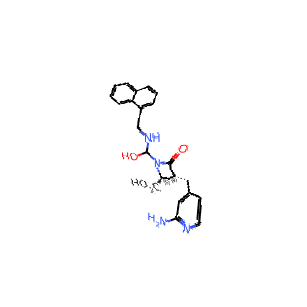 Nc1cc(C[C@H]2C(=O)N(C(O)NCc3cccc4ccccc34)[C@@H]2C(=O)O)ccn1